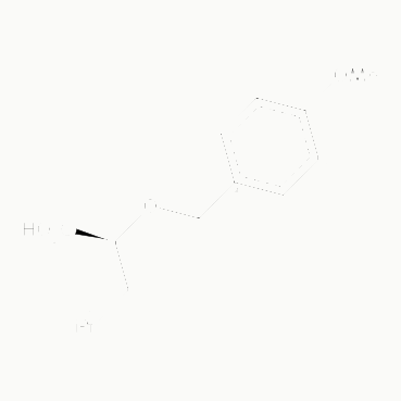 COc1ccc(CO[C@@H](CC(C)C)C(=O)O)cc1